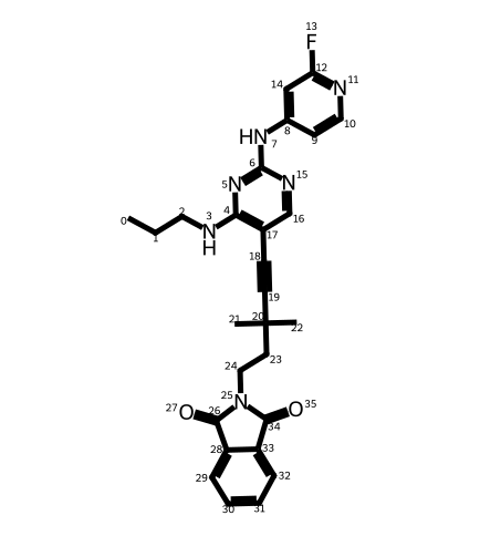 CCCNc1nc(Nc2ccnc(F)c2)ncc1C#CC(C)(C)CCN1C(=O)c2ccccc2C1=O